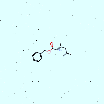 C/C(=C\C(=O)OCc1ccccc1)CC(C)C